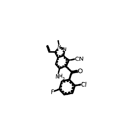 C=Cc1c2cc(N)c(C(=O)c3cc(F)ccc3Cl)c(C#N)c2nn1C